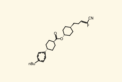 CCCCc1ccc([C@H]2CC[C@H](C(=O)O[C@H]3CC[C@H](CCC=C(F)C#N)CC3)CC2)cc1